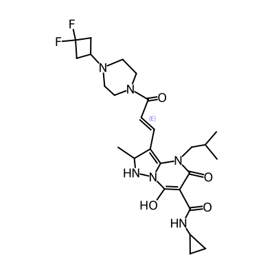 CC(C)CN1C(=O)C(C(=O)NC2CC2)=C(O)N2NC(C)C(/C=C/C(=O)N3CCN(C4CC(F)(F)C4)CC3)=C12